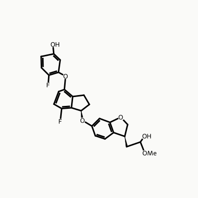 COC(O)C[C@@H]1COc2cc(O[C@@H]3CCc4c(Oc5cc(O)ccc5F)ccc(F)c43)ccc21